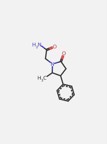 CC1C(c2ccccc2)CC(=O)N1CC(N)=O